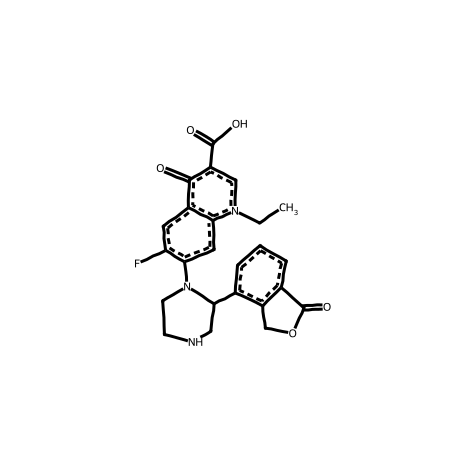 CCn1cc(C(=O)O)c(=O)c2cc(F)c(N3CCNCC3c3cccc4c3COC4=O)cc21